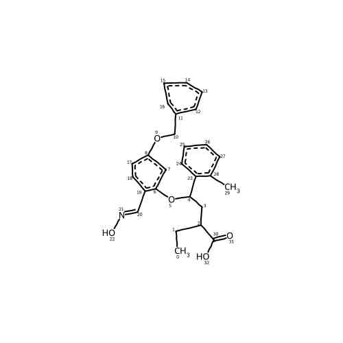 CCC(CC(Oc1cc(OCc2ccccc2)ccc1C=NO)c1ccccc1C)C(=O)O